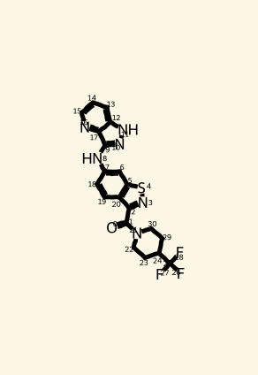 O=C(c1nsc2cc(Nc3n[nH]c4cccnc34)ccc12)N1CCC(C(F)(F)F)CC1